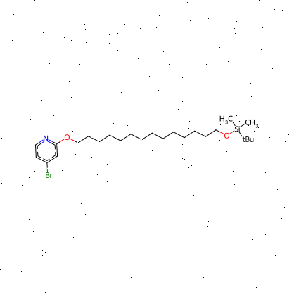 CC(C)(C)[Si](C)(C)OCCCCCCCCCCCCCCOc1cc(Br)ccn1